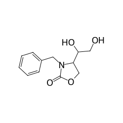 O=C1OCC(C(O)CO)N1Cc1ccccc1